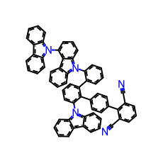 N#Cc1cccc(C#N)c1-c1ccc(-c2c(-c3ccccc3-n3c4ccccc4c4c(-n5c6ccccc6c6ccccc65)cccc43)cccc2-n2c3ccccc3c3ccccc32)cc1